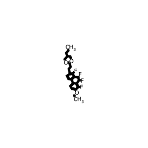 CCCC1COC(CCc2ccc3c(c2F)C(F)C(F)c2c-3ccc(OCC)c2F)OC1